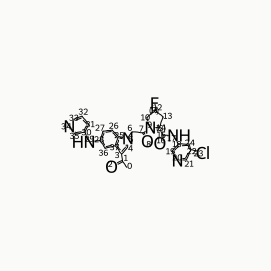 CC(=O)c1cn(CC(=O)N2C[C@H](F)C[C@H]2C(=O)Nc2cncc(Cl)c2)c2ccc(Nc3cccnc3)cc12